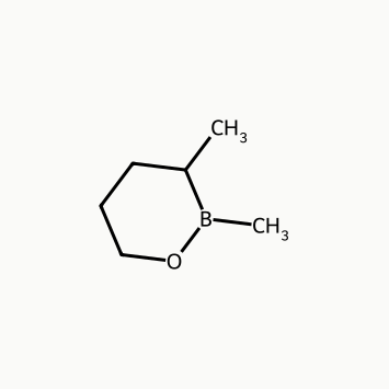 CB1OCCCC1C